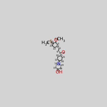 COc1cc(C=CC(=O)c2ccc(N3CCC(O)CC3)cc2)ccc1SC